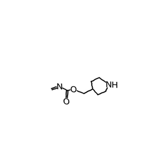 C=NC(=O)OCC1CCNCC1